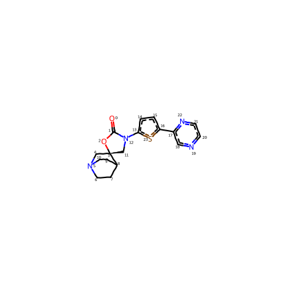 O=C1O[C@]2(CN3CCC2CC3)CN1c1ccc(-c2cnccn2)s1